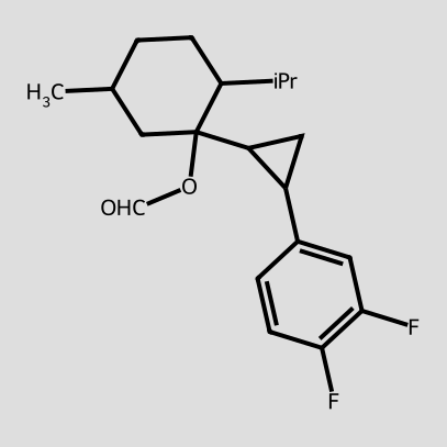 CC1CCC(C(C)C)C(OC=O)(C2CC2c2ccc(F)c(F)c2)C1